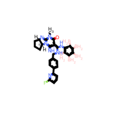 Bc1c(B)c(B)c(N/C(NCc2ccc(-c3cccc(F)n3)cc2)=c2\c(=O)n(C)c3n(c2=N)[C@H]2CCC[C@H]2N=3)c(B)c1B